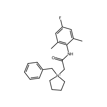 Cc1cc(F)cc(C)c1NC(=O)C[N+]1(Cc2ccccc2)CCCC1